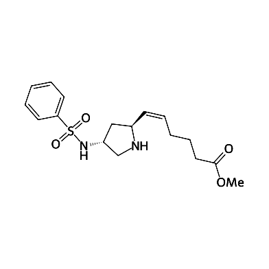 COC(=O)CCC/C=C\[C@@H]1C[C@@H](NS(=O)(=O)c2ccccc2)CN1